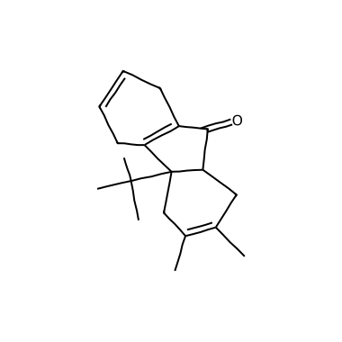 CC1=C(C)CC2(C(C)(C)C)C3=C(CC=CC3)C(=O)C2C1